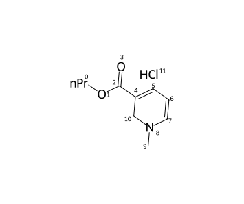 CCCOC(=O)C1=CC=CN(C)C1.Cl